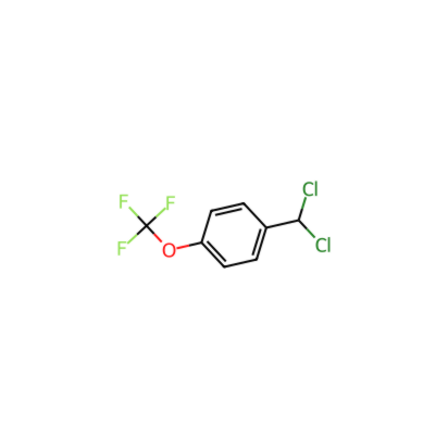 FC(F)(F)Oc1ccc(C(Cl)Cl)cc1